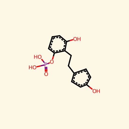 O=P(O)(O)Oc1cccc(O)c1CCc1ccc(O)cc1